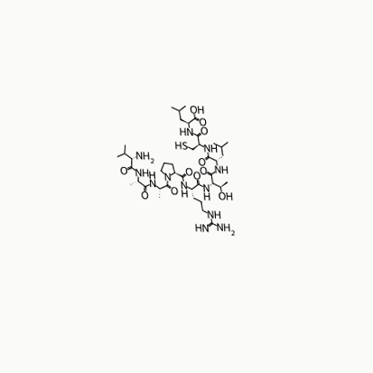 CC(C)C[C@H](NC(=O)[C@H](CS)NC(=O)[C@H](CC(C)C)NC(=O)[C@@H](NC(=O)[C@H](CCCNC(=N)N)NC(=O)[C@@H]1CCCN1C(=O)[C@H](C)NC(=O)[C@H](C)NC(=O)[C@@H](N)C(C)C)[C@@H](C)O)C(=O)O